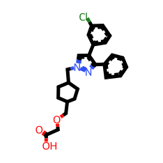 O=C(O)COCC1CCC(Cn2cc(-c3cccc(Cl)c3)c(-c3ccccc3)n2)CC1